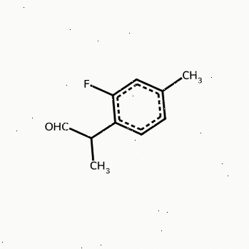 Cc1ccc(C(C)C=O)c(F)c1